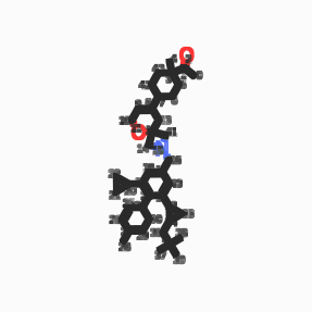 CC(=O)C1(C)CCC(C2=CCOC3(C2)CN(Cc2cc(C4CC4)c(C4C=CC(C)=CC4)c(C4CC4CC(C)(C)C)c2)C3)CC1